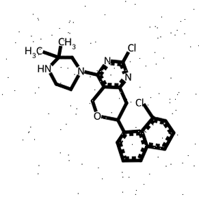 CC1(C)CN(c2nc(Cl)nc3c2COC(c2cccc4cccc(Cl)c24)C3)CCN1